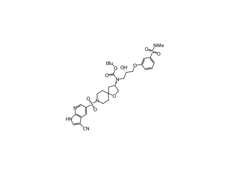 CNS(=O)(=O)c1cccc(OC[C@@H](O)CN(C(=O)OC(C)(C)C)[C@H]2COC3(CCN(S(=O)(=O)c4cnc5[nH]cc(C#N)c5c4)CC3)C2)c1